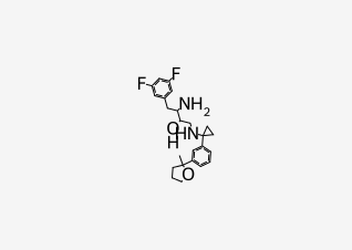 CC1(c2cccc(C3(NCC(O)C(N)Cc4cc(F)cc(F)c4)CC3)c2)CCCO1